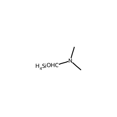 CN(C)C=O.[SiH4]